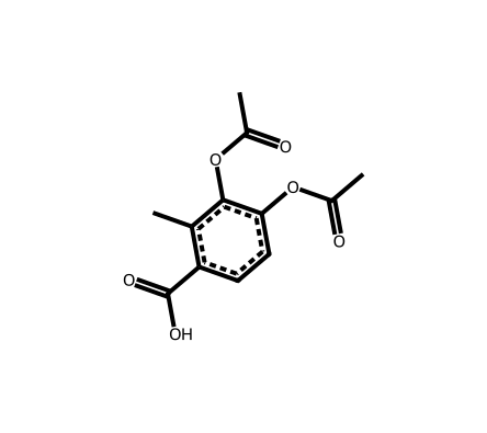 CC(=O)Oc1ccc(C(=O)O)c(C)c1OC(C)=O